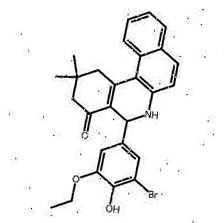 CCOc1cc(C2Nc3ccc4ccccc4c3C3=C2C(=O)CC(C)(C)C3)cc(Br)c1O